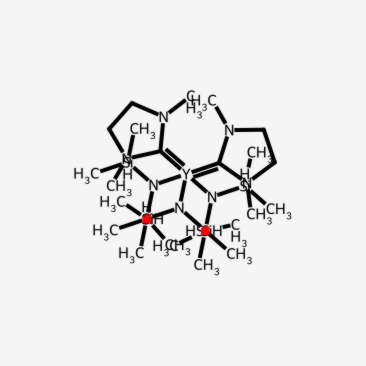 CN1CCN(C)[C]1=[Y](=[C]1N(C)CCN1C)([N]([SiH](C)C)[SiH](C)C)([N]([SiH](C)C)[SiH](C)C)[N]([SiH](C)C)[SiH](C)C